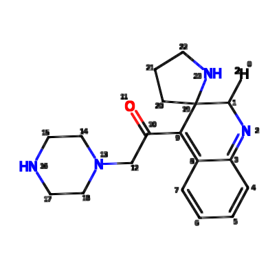 [2H]C1N=c2ccccc2=C(C(=O)CN2CCNCC2)C12CCCN2